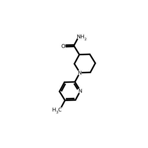 Cc1ccc(N2CCCC(C(N)=O)C2)nc1